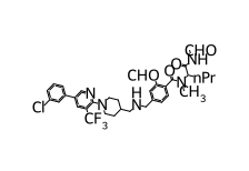 CCCC(C(=O)NC=O)N(C)C(=O)c1ccc(CNCC2CCN(c3ncc(-c4cccc(Cl)c4)cc3C(F)(F)F)CC2)cc1C=O